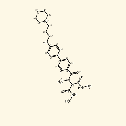 CNC(=O)C(C(=O)NO)N(C)C(=O)c1ccc(-c2ccc(OCCCN3CCOCC3)cc2)cc1